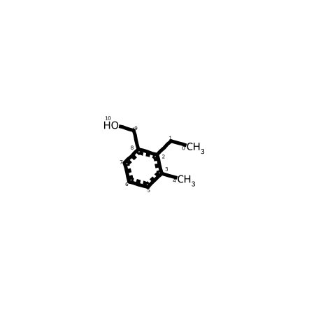 CCc1c(C)cccc1[CH]O